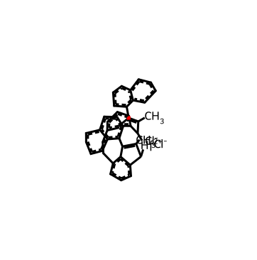 CC1=C(c2cccc3ccccc23)c2c3cccc2[CH]1[Hf+2][CH]1C(C)=C(c2cccc4ccccc24)c2c(cccc21)CC3.[Cl-].[Cl-]